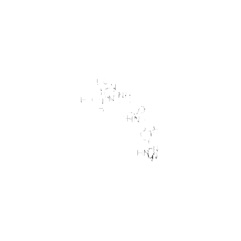 CNc1nc(C)nc(NC2CCCC(C(=O)NCc3ccc(-c4nnn[nH]4)cc3Cl)C2)n1